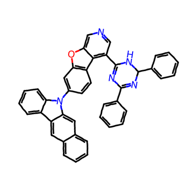 c1ccc(C2=NC(c3ccccc3)NC(c3cncc4oc5cc(-n6c7ccccc7c7cc8ccccc8cc76)ccc5c34)=N2)cc1